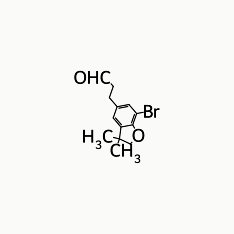 CC1(C)COc2c(Br)cc(CCC=O)cc21